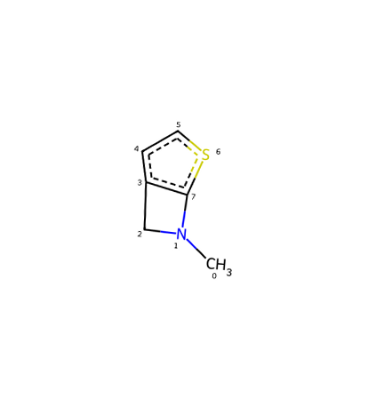 CN1Cc2ccsc21